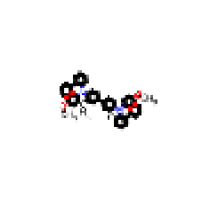 COc1ccc(N(c2ccc(-c3ccc(N(c4ccc(OC)cc4)c4ccccc4-c4ccccc4)c(C)c3)cc2C)c2ccccc2-c2ccccc2)cc1